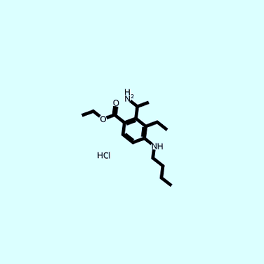 CCCCNc1ccc(C(=O)OCC)c(C(C)N)c1CC.Cl